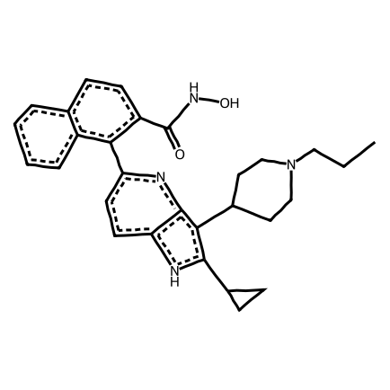 CCCN1CCC(c2c(C3CC3)[nH]c3ccc(-c4c(C(=O)NO)ccc5ccccc45)nc23)CC1